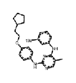 Cc1cnc(Nc2ccc(OCCC3CCCC3)cc2)nc1Nc1cccc(C(C)(C)C)c1